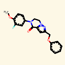 COc1ccc(N2CCn3nc(COc4ccccc4)cc3C2=O)cc1F